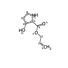 C=CCOC(=O)c1[nH]ccc1O